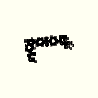 COC(=O)c1cnc2[nH]cc(C3CCN(S(=O)(=O)C4CCN(C(=O)OC(C)(C)C)CC4)CC3)c2c1